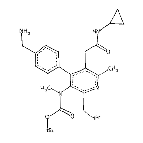 Cc1nc(CC(C)C)c(N(C)C(=O)OC(C)(C)C)c(-c2ccc(CN)cc2)c1CC(=O)NC1CC1